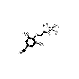 C#Cc1cc(C)c(OCCO[Si](C)(C)C(C)(C)C)c(C)c1